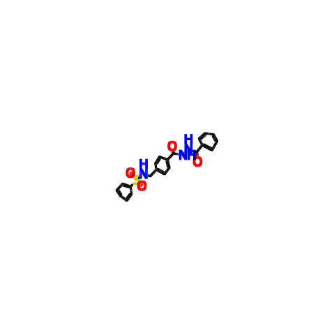 O=C(NNC(=O)c1ccc(CNS(=O)(=O)c2ccccc2)cc1)c1ccccc1